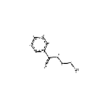 N#CCCSC(=S)c1ccccc1